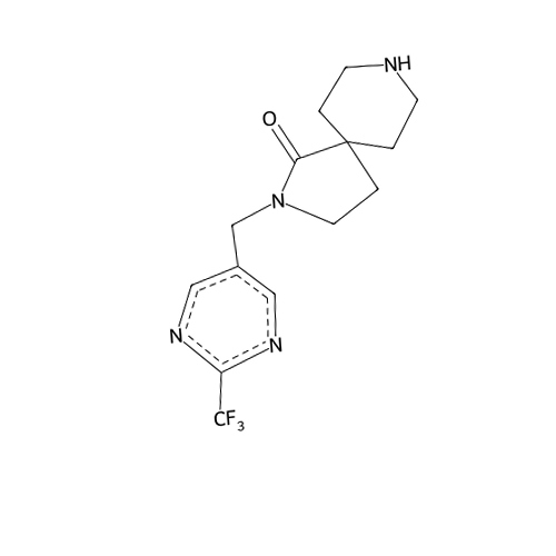 O=C1N(Cc2cnc(C(F)(F)F)nc2)CCC12CCNCC2